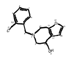 OC1CN(Cc2ccccc2Cl)Cc2occc21